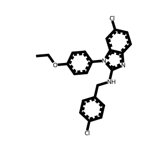 CCOc1ccc(-n2c(NCc3ccc(Cl)cc3)nc3ccc(Cl)cc32)cc1